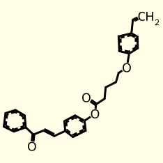 C=Cc1ccc(OCCCCC(=O)Oc2ccc(C=CC(=O)c3ccccc3)cc2)cc1